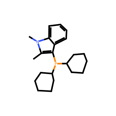 Cc1c(P(C2CCCCC2)C2CCCCC2)c2ccccc2n1C